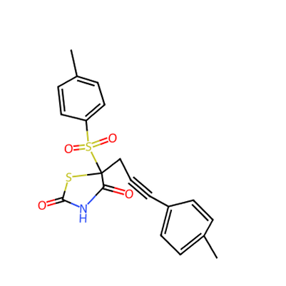 Cc1ccc(C#CCC2(S(=O)(=O)c3ccc(C)cc3)SC(=O)NC2=O)cc1